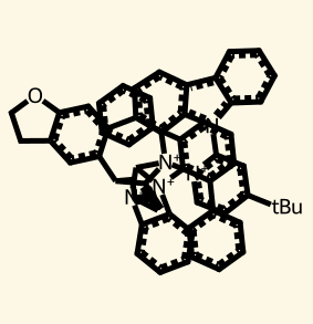 CC(C)(C)c1cc[n+]2c(c1)-n1c3ccccc3c3ccc4c(c31)[N+]21C2=C(C=CCC2c2cc3c(cc2-4)OCC3)[N+]23c4ccccc4[N+]2(c2c(-c4ccccc4)cccc2-c2ccccc2)C13